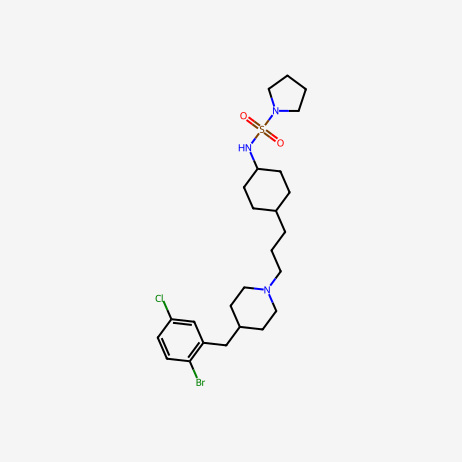 O=S(=O)(NC1CCC(CCCN2CCC(Cc3cc(Cl)ccc3Br)CC2)CC1)N1CCCC1